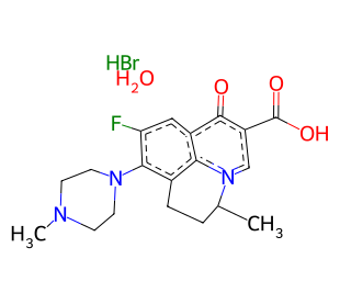 Br.CC1CCc2c(N3CCN(C)CC3)c(F)cc3c(=O)c(C(=O)O)cn1c23.O